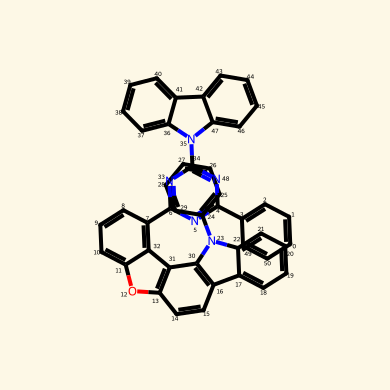 c1ccc(-c2nc(-c3cccc4oc5ccc6c7ccccc7n(-c7ccccc7)c6c5c34)nc(-n3c4ccccc4c4ccccc43)n2)cc1